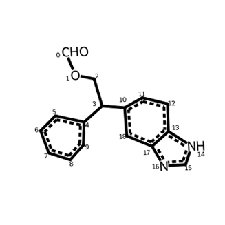 O=COCC(c1ccccc1)c1ccc2[nH]cnc2c1